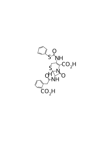 O=C(Cc1ccccc1C(=O)O)NC1C(=O)N2C(C(=O)O)=C(NC(=O)Sc3ccccc3)CS[C@@H]12